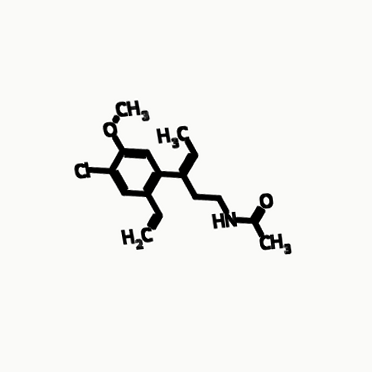 C=Cc1cc(Cl)c(OC)cc1/C(=C\C)CCNC(C)=O